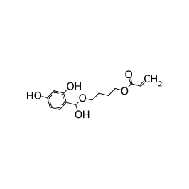 C=CC(=O)OCCCCOC(O)c1ccc(O)cc1O